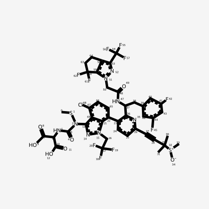 CSN(C(=O)NC(C(=O)O)C(=O)O)c1nn(CC(F)(F)F)c2c(-c3ccc(C#CC(C)(C)[S+](C)[O-])nc3C(Cc3cc(F)cc(F)c3)NC(=O)Cn3nc(C(F)(F)F)c4c3C(F)(F)CC4)ccc(Cl)c12